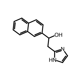 OC(Cc1ncc[nH]1)c1ccc2ccccc2c1